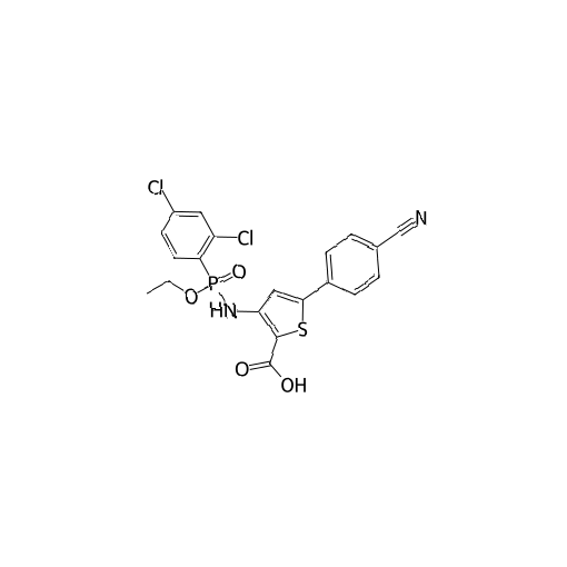 CCOP(=O)(Nc1cc(-c2ccc(C#N)cc2)sc1C(=O)O)c1ccc(Cl)cc1Cl